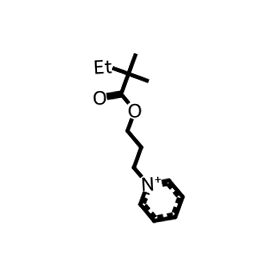 CCC(C)(C)C(=O)OCCC[n+]1ccccc1